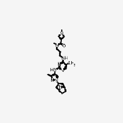 Cc1nn(C2CC3CCC(C2)N3C)cc1Nc1ncc(C(F)(F)F)c(NCCCN(C)C(=O)C2CN(C)C2)n1